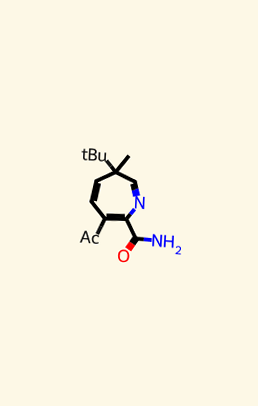 CC(=O)C1=C(C(N)=O)N=CC(C)(C(C)(C)C)C=C1